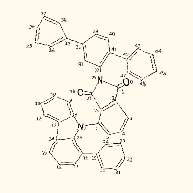 O=C1c2cccc(-n3c4ccccc4c4cccc(-c5ccccc5)c43)c2C(=O)N1c1cc(-c2ccccc2)ccc1-c1ccccc1